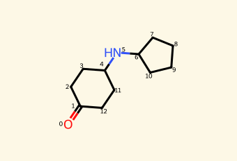 O=C1CCC(NC2CCCC2)CC1